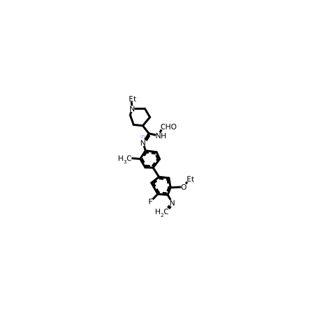 C=Nc1c(F)cc(-c2ccc(/N=C(\NC=O)C3CCN(CC)CC3)c(C)c2)cc1OCC